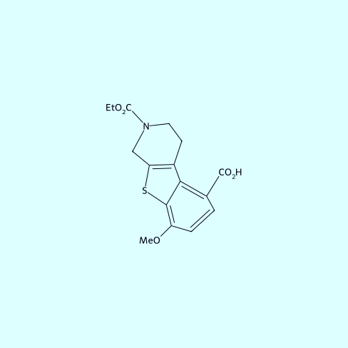 CCOC(=O)N1CCc2c(sc3c(OC)ccc(C(=O)O)c23)C1